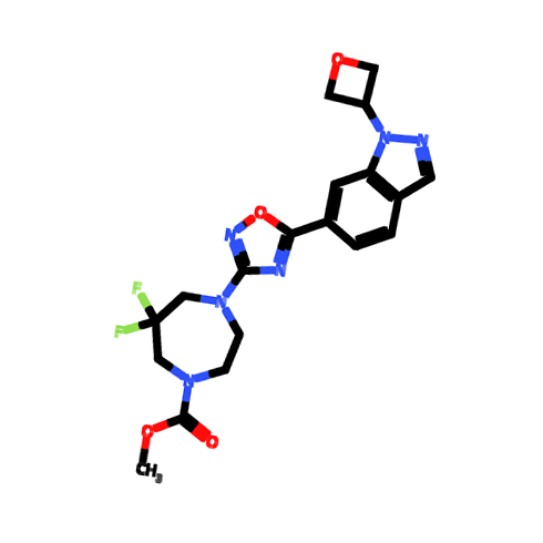 COC(=O)N1CCN(c2noc(-c3ccc4cnn(C5COC5)c4c3)n2)CC(F)(F)C1